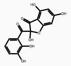 O=C(c1cccc(O)c1O)C1(O)Oc2cc(O)cc(O)c2C1=O